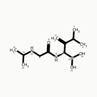 C=C(C(C)C)[C@H](NC(=O)CNC(C)C)B(O)O